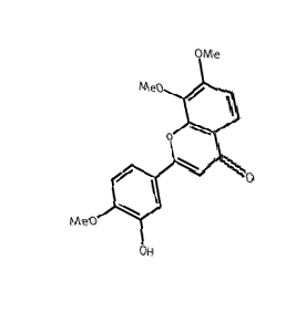 COc1ccc(-c2cc(=O)c3ccc(OC)c(OC)c3o2)cc1O